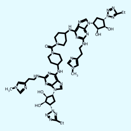 CCc1nnn([C@H]2C[C@@H](n3cnc4c(NC5CCN(C(=O)N6CCC(Nc7nc(NCCc8cn(C)cn8)nc8c7ncn8[C@@H]7C[C@H](n8nnc(CC)n8)[C@@H](O)[C@H]7O)CC6)CC5)nc(NCCc5cn(C)cn5)nc43)[C@H](O)[C@@H]2O)n1